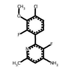 COc1c(Cl)ccc(-c2nc(C)cc(N)c2F)c1F